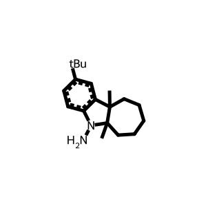 CC(C)(C)c1ccc2c(c1)C1(C)CCCCCC1(C)N2N